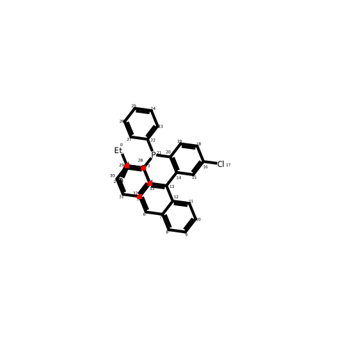 CCC(=O)Oc1ccc2ccccc2c1-c1cc(Cl)ccc1P(c1ccccc1)c1ccccc1